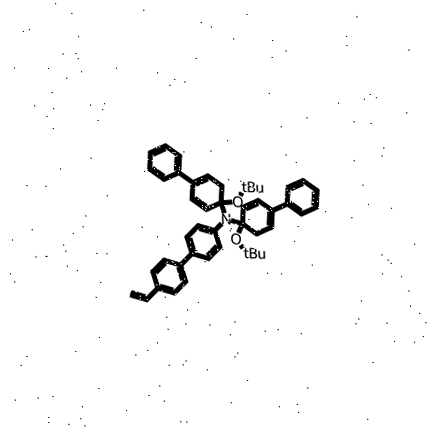 C=Cc1ccc(-c2ccc(N(C3(OC(C)(C)C)C=CC(c4ccccc4)=CC3)C3(OC(C)(C)C)C=CC(c4ccccc4)=CC3)cc2)cc1